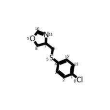 Clc1ccc(SCC2CO[C]=N2)cc1